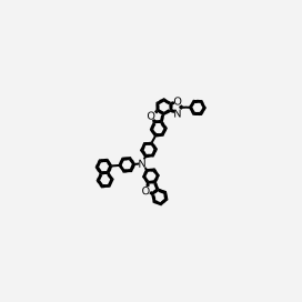 c1ccc(-c2nc3c(ccc4oc5cc(-c6ccc(N(c7ccc(-c8cccc9ccccc89)cc7)c7ccc8c(c7)oc7ccccc78)cc6)ccc5c43)o2)cc1